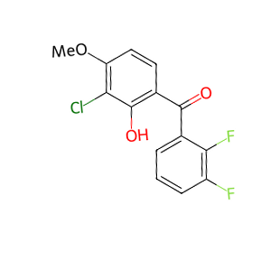 COc1ccc(C(=O)c2cccc(F)c2F)c(O)c1Cl